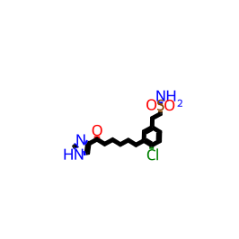 NS(=O)(=O)CCc1ccc(Cl)c(CCCCCC(=O)c2c[nH]cn2)c1